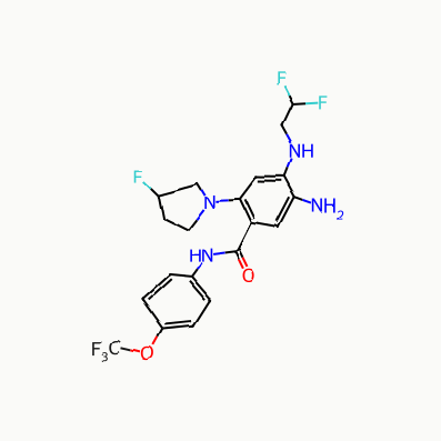 Nc1cc(C(=O)Nc2ccc(OC(F)(F)F)cc2)c(N2CCC(F)C2)cc1NCC(F)F